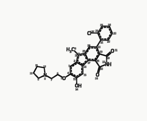 Cn1c2cc(OCCN3CCCC3)c(O)cc2c2c3c(c(-c4ccccc4Cl)cc21)C(=O)NC3=O